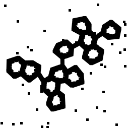 c1ccc(-c2c3ccccc3c(-c3cccc(-c4cc5c(-c6ccc7ccccc7c6)nc6ccccc6c5c5ccccc45)c3)c3ccccc23)cc1